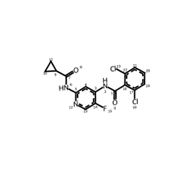 O=C(Nc1cc(NC(=O)C2CC2)ncc1F)c1c(Cl)cccc1Cl